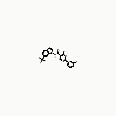 Cc1nc(-c2cccc(F)c2)ncc1C(=O)Nn1ccc2ccc(C(F)(F)F)cc21